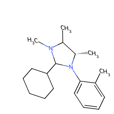 Cc1ccccc1N1C(C2CCCCC2)N(C)C(C)[C@@H]1C